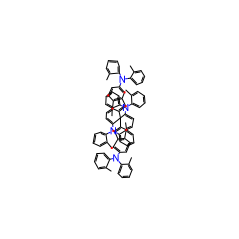 Cc1ccccc1N(C1=CC=C2C(=Cc3cc(N(c4ccccc4C)c4ccccc4C)ccc32)C12C1=Cc3cc(N(c4ccccc4C)c4ccccc4C)ccc3C1=CC=C2N(c1ccccc1C)c1ccccc1C)c1ccccc1C